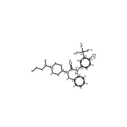 CCCC(C)N1CCC(N(Cc2ccccc2)C(=O)Nc2ccc(Cl)c(C(F)(F)F)c2)CC1